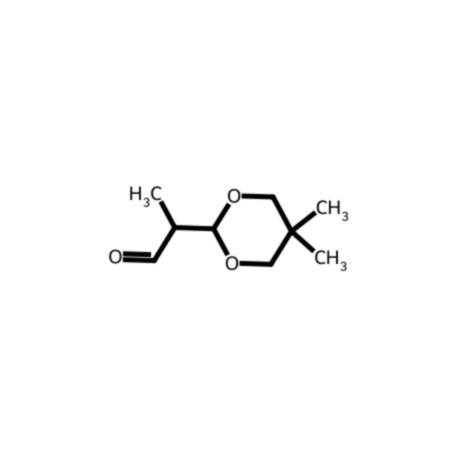 CC(C=O)C1OCC(C)(C)CO1